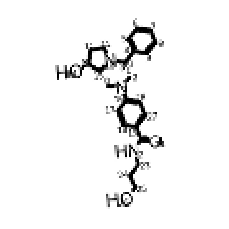 CN(C[C@@H](c1ccccc1)N1CC[C@H](O)C1)c1ccc(C(=O)NCCCO)cc1